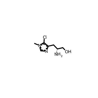 Cn1cnc(C[C@@H](N)CO)c1Cl